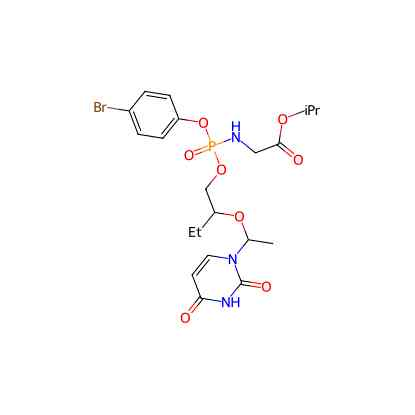 CCC(COP(=O)(NCC(=O)OC(C)C)Oc1ccc(Br)cc1)OC(C)n1ccc(=O)[nH]c1=O